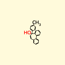 Cc1ccc(C2(O)C=Cc3ccccc3-c3ccccc32)cc1